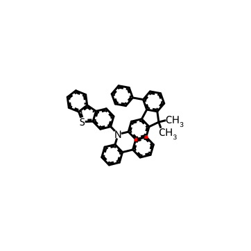 CC1(C)c2ccc(N(c3ccc4c(c3)sc3ccccc34)c3ccccc3-c3ccccc3)cc2-c2c(-c3ccccc3)cccc21